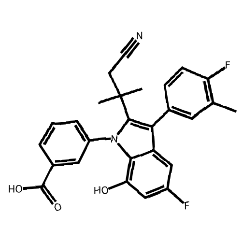 Cc1cc(-c2c(C(C)(C)CC#N)n(-c3cccc(C(=O)O)c3)c3c(O)cc(F)cc23)ccc1F